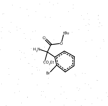 CCOC(=O)C(N)(C(=O)OC(C)(C)C)c1ccccc1Br